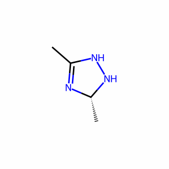 CC1=N[C@@H](C)NN1